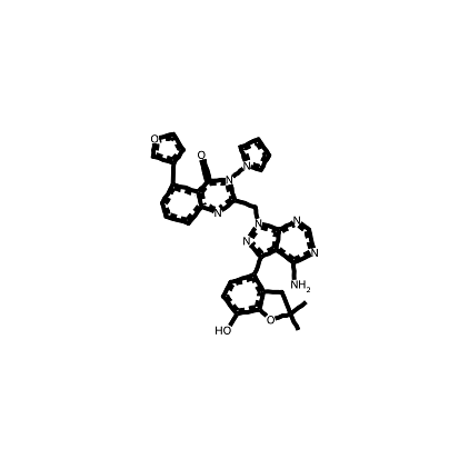 CC1(C)Cc2c(-c3nn(Cc4nc5cccc(-c6ccoc6)c5c(=O)n4-n4cccc4)c4ncnc(N)c34)ccc(O)c2O1